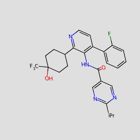 CC(C)c1ncc(C(=O)Nc2c(-c3ccccc3F)ccnc2C2CCC(O)(C(F)(F)F)CC2)cn1